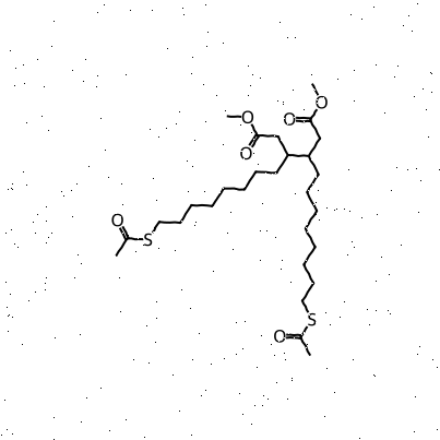 COC(=O)CC(CCCCCCCCSC(C)=O)C(CCCCCCCCSC(C)=O)CC(=O)OC